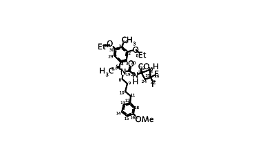 CCOc1cc([C@@H](C)N(CCCCc2cccc(OC)c2)C(=O)NC2(C(=O)O)CC(F)(F)C2)cc(OCC)c1C